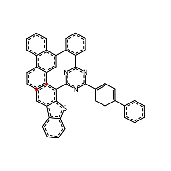 C1=C(c2ccccc2)CCC(c2nc(-c3ccccc3-c3cc4ccccc4c4ccccc34)nc(-c3cccc4c3sc3ccccc34)n2)=C1